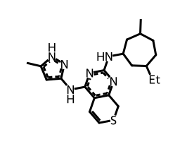 CCC1CCC(C)CC(Nc2nc3c(c(Nc4cc(C)[nH]n4)n2)C=CSC3)C1